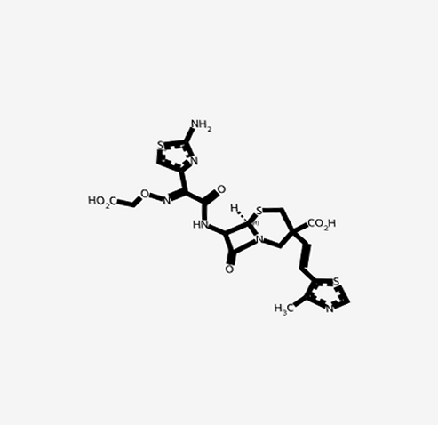 Cc1ncsc1C=CC1(C(=O)O)CS[C@@H]2C(NC(=O)C(=NOCC(=O)O)c3csc(N)n3)C(=O)N2C1